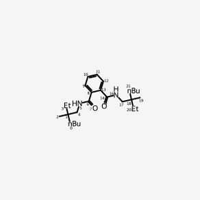 CCCCC(C)(CC)CNC(=O)c1ccccc1C(=O)NCC(C)(CC)CCCC